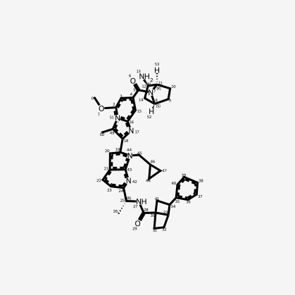 COc1cc(C(=O)N2[C@H]3CC[C@@H]2[C@H](N)C3)cc2nc(-c3cc4ccc([C@@H](C)NC(=O)C56CCC5C(c5ccccc5)C6)nc4n3CC3CC3)c(C)n12